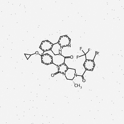 C[C@@H]1Cn2c(c(C(=O)NCc3c(F)cccc3-c3cccnn3)n(-c3ccc(OC4CC4)cc3)c2=O)CN1C(=O)c1ccc(Br)c(C(F)(F)F)c1